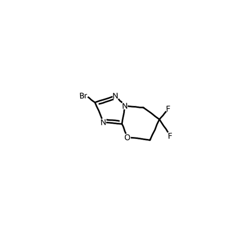 FC1(F)COc2nc(Br)nn2C1